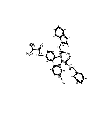 CC(C)C(=O)Nc1ccc(N(C(=O)Cn2nnc3ccccc32)C(C(=O)NCc2ccccc2)c2cccc(Cl)c2)cc1